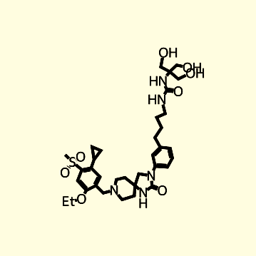 CCOc1cc(S(C)(=O)=O)c(C2CC2)cc1CN1CCC2(CC1)CN(c1cccc(CCCCNC(=O)NC(CO)(CO)CO)c1)C(=O)N2